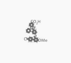 COc1ccc(-c2ccc(Cl)cc2)c(CSc2ccc(-c3nc4cc(C(=O)O)ccc4n3C3CCCCC3)cc2)c1